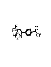 COC(=O)c1ccc(C(N)CC(F)(F)F)cc1